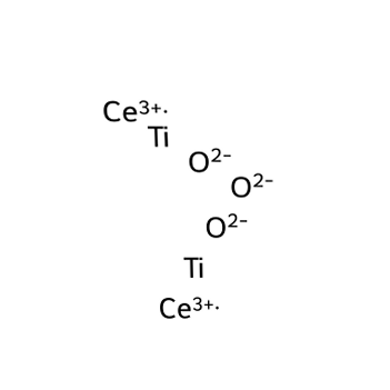 [Ce+3].[Ce+3].[O-2].[O-2].[O-2].[Ti].[Ti]